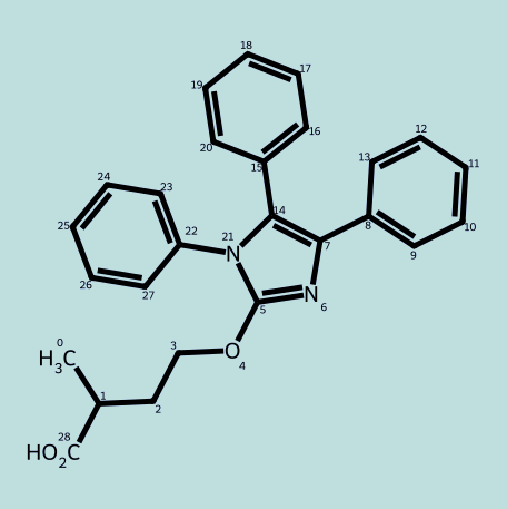 CC(CCOc1nc(-c2ccccc2)c(-c2ccccc2)n1-c1ccccc1)C(=O)O